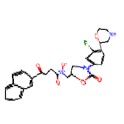 O=C(CCC(=O)[NH+]([O-])CC1CN(c2ccc(C3CNCCO3)c(F)c2)C(=O)O1)c1ccc2ccccc2c1